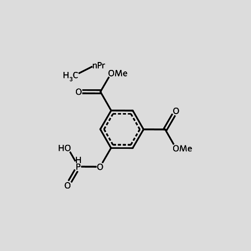 CCCC.COC(=O)c1cc(O[PH](=O)O)cc(C(=O)OC)c1